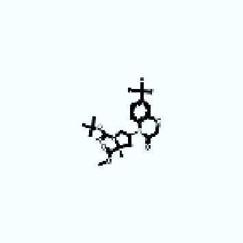 COC(=O)[C@@]1(C)C[C@H](N2C(=O)COc3cc(C(F)(F)F)ccc32)CN1C(=O)OC(C)(C)C